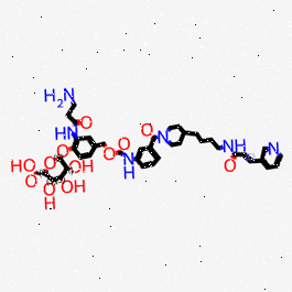 NCCC(=O)Nc1cc(COC(=O)Nc2cccc(C(=O)N3CCC(CCCCNC(=O)/C=C/c4cccnc4)CC3)c2)ccc1O[C@@H]1O[C@H](C(=O)O)[C@@H](O)[C@H](O)[C@H]1O